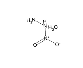 NN[N+](=O)[O-].O